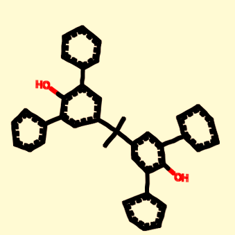 CC(C)(c1cc(-c2ccccc2)c(O)c(-c2ccccc2)c1)c1cc(-c2ccccc2)c(O)c(-c2ccccc2)c1